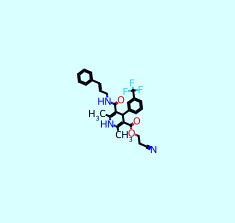 CC1=C(C(=O)NC/C=C/c2ccccc2)C(c2cccc(C(F)(F)F)c2)C(C(=O)OCCC#N)=C(C)N1